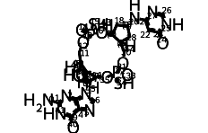 Nc1nc2c(ncn2[C@@H]2O[C@@H]3COP(=O)(S)O[C@H]4C[C@H](Nc5cc(=O)[nH]cn5)C[C@@H]4COP(=O)(S)O[C@@H]2[C@@H]3O)c(=O)[nH]1